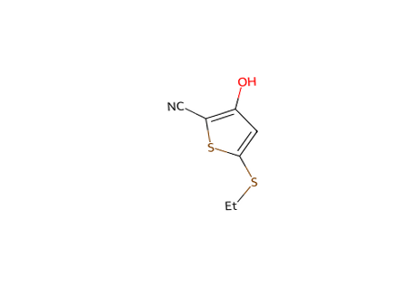 CCSc1cc(O)c(C#N)s1